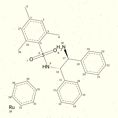 Cc1cc(C)c(S(=O)(=O)N[C@@H](c2ccccc2)[C@@H](N)c2ccccc2)c(C)c1.[Ru].c1ccccc1